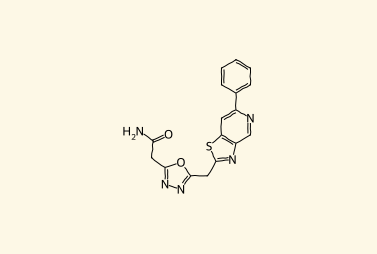 NC(=O)Cc1nnc(Cc2nc3cnc(-c4ccccc4)cc3s2)o1